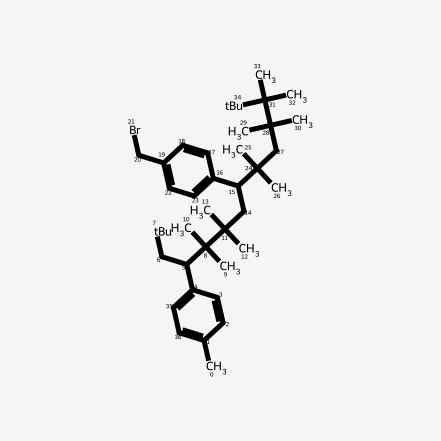 Cc1ccc(C(CC(C)(C)C)C(C)(C)C(C)(C)CC(c2ccc(CBr)cc2)C(C)(C)CC(C)(C)C(C)(C)C(C)(C)C)cc1